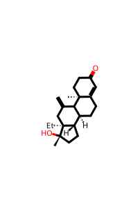 C=C1C[C@@]2(CC)[C@@H](CC[C@]2(C)O)[C@@H]2CCC3=CC(=O)CC[C@]3(C)C12